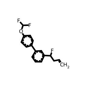 C=CCC(F)c1cccc(-c2ccc(OC(F)F)cc2)c1